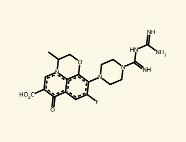 CC1COc2c(N3CCN(C(=N)NC(=N)N)CC3)c(F)cc3c(=O)c(C(=O)O)cn1c23